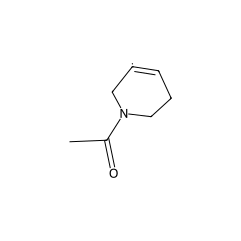 CC(=O)N1C[C]=CCC1